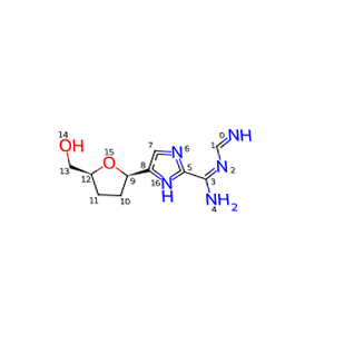 N=C/N=C(/N)c1ncc([C@H]2CC[C@@H](CO)O2)[nH]1